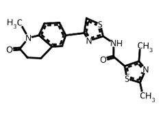 Cc1nc(C)c(C(=O)Nc2nc(-c3ccc4c(c3)CCC(=O)N4C)cs2)s1